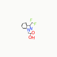 O=C(O)Cn1nc(C(F)F)c2ccccc21